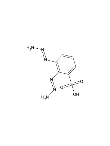 NN=Nc1cccc(S(=O)(=O)O)c1N=NN